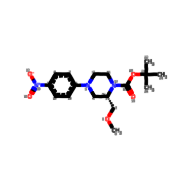 COC[C@@H]1CN(c2ccc([N+](=O)[O-])cc2)CCN1C(=O)OC(C)(C)C